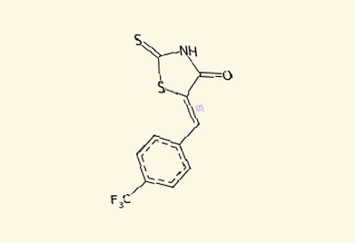 O=C1NC(=S)S/C1=C\c1ccc(C(F)(F)F)cc1